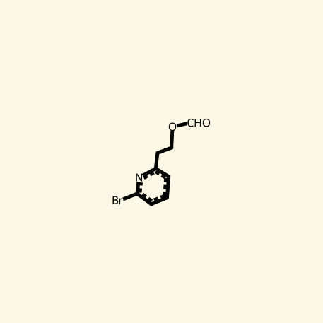 O=COCCc1cccc(Br)n1